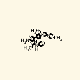 CCc1nc2c(N)ncc(-c3ccc(N4CCC(N5CCN(C)CC5)C4)c(OC)c3)c2nc1NC1CCOCC1